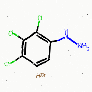 Br.NNc1ccc(Cl)c(Cl)c1Cl